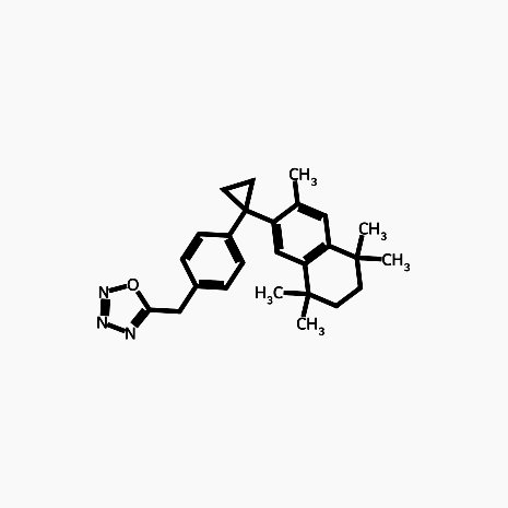 Cc1cc2c(cc1C1(c3ccc(Cc4nnno4)cc3)CC1)C(C)(C)CCC2(C)C